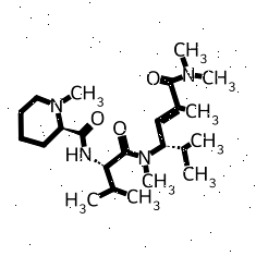 C/C(=C\[C@H](C(C)C)N(C)C(=O)[C@@H](NC(=O)[C@H]1CCCCN1C)C(C)C)C(=O)N(C)C